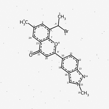 Cc1cc(C(C)Br)c2oc(-c3ccc4nn(C)cc4c3)cc(=O)c2c1